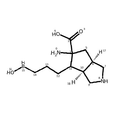 NC1(C(=O)O)C[C@H]2CNC[C@H]2C1CCCBO